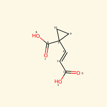 O=C(O)C=CC1(C(=O)O)CC1